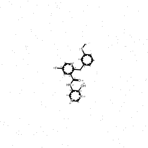 CSc1cccc(Cc2ncc(F)cc2C(=O)Nc2cncnc2O)c1